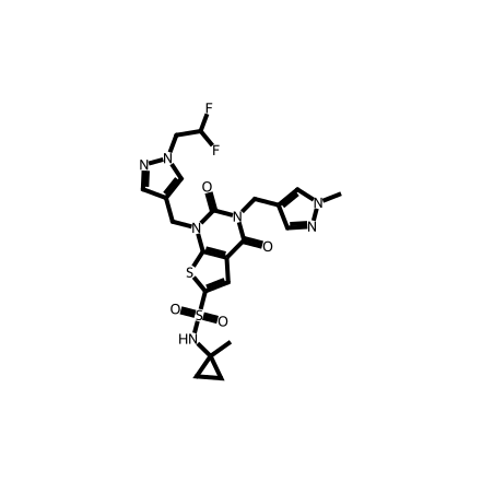 Cn1cc(Cn2c(=O)c3cc(S(=O)(=O)NC4(C)CC4)sc3n(Cc3cnn(CC(F)F)c3)c2=O)cn1